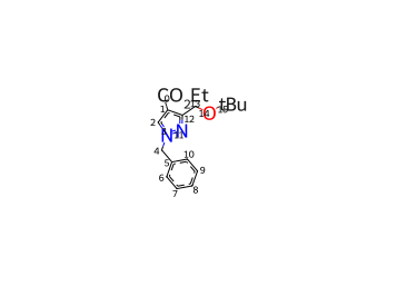 CCOC(=O)c1cn(Cc2ccccc2)nc1COC(C)(C)C